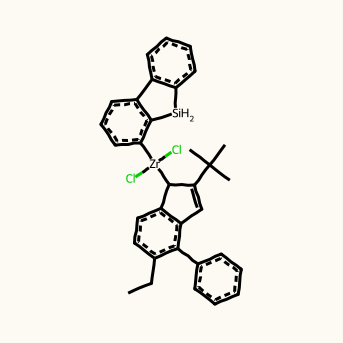 CCc1ccc2c(c1-c1ccccc1)C=C(C(C)(C)C)[CH]2[Zr]([Cl])([Cl])[c]1cccc2c1[SiH2]c1ccccc1-2